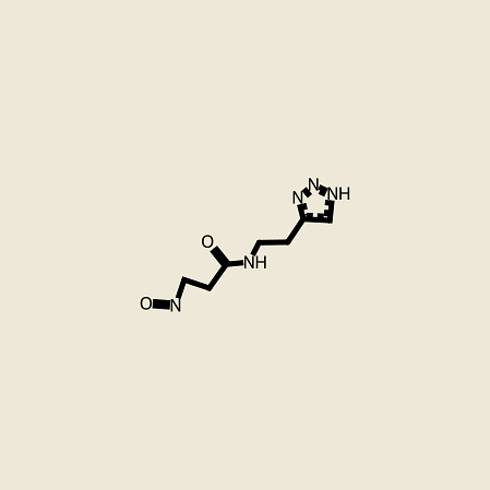 O=NCCC(=O)NCCc1c[nH]nn1